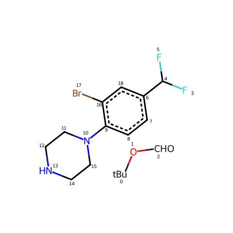 CC(C)(C)OC=O.FC(F)c1ccc(N2CCNCC2)c(Br)c1